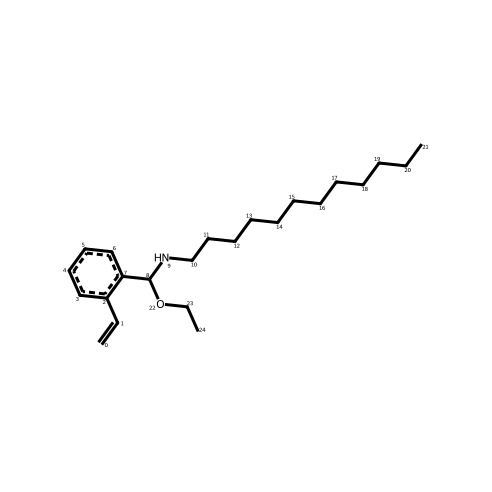 C=Cc1ccccc1C(NCCCCCCCCCCCC)OCC